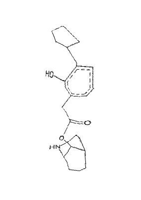 O=C(Cc1cccc(C2CCCC2)c1O)OC1C2CCC1NC2